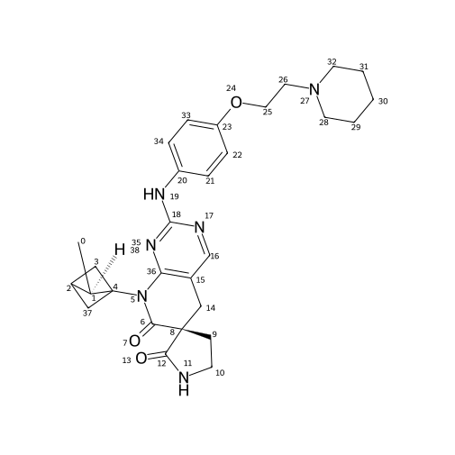 C[C@@H]1C2CC1(N1C(=O)[C@]3(CCNC3=O)Cc3cnc(Nc4ccc(OCCN5CCCCC5)cc4)nc31)C2